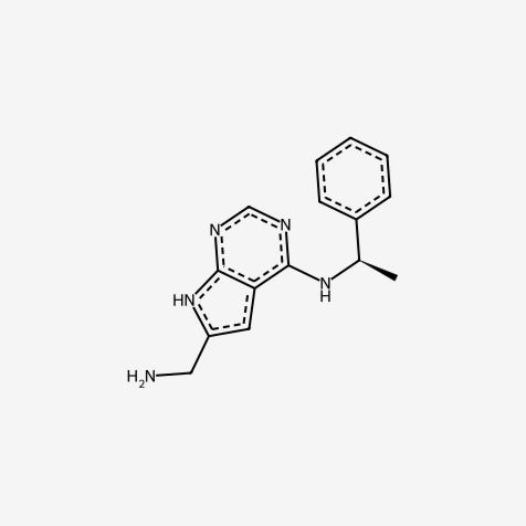 C[C@@H](Nc1ncnc2[nH]c(CN)cc12)c1ccccc1